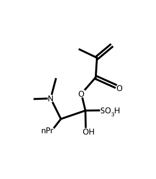 C=C(C)C(=O)OC(O)(C(CCC)N(C)C)S(=O)(=O)O